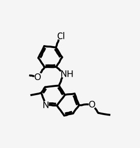 CCOc1ccc2nc(C)cc(Nc3cc(Cl)ccc3OC)c2c1